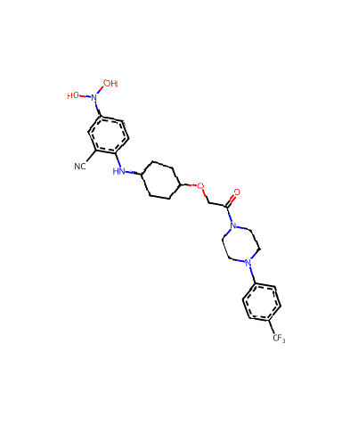 N#Cc1cc(N(O)O)ccc1NC1CCC(OCC(=O)N2CCN(c3ccc(C(F)(F)F)cc3)CC2)CC1